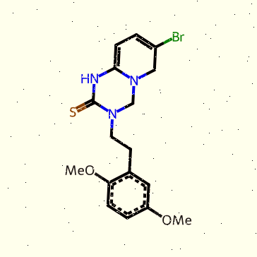 COc1ccc(OC)c(CCN2CN3CC(Br)=CC=C3NC2=S)c1